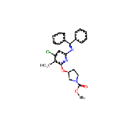 CC(C)(C)OC(=O)N1CC[C@H](Oc2nc(N=C(c3ccccc3)c3ccccc3)cc(Cl)c2C(=O)O)C1